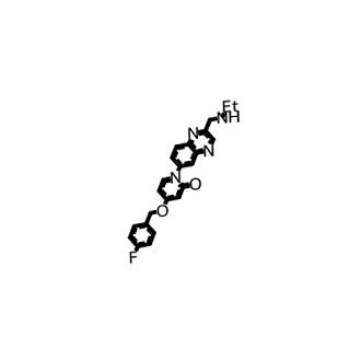 CCNCc1cnc2cc(-n3ccc(OCc4ccc(F)cc4)cc3=O)ccc2n1